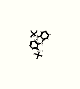 CC(C)(C)Nc1ccccc1Sc1ccccc1NC(C)(C)C